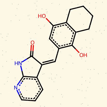 O=C1Nc2ncccc2C1=Cc1cc(O)c2c(c1O)CCCC2